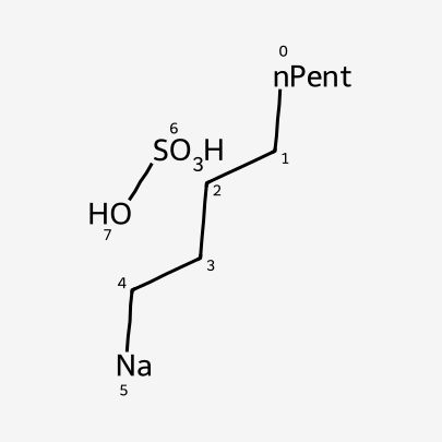 CCCCCCCC[CH2][Na].O=S(=O)(O)O